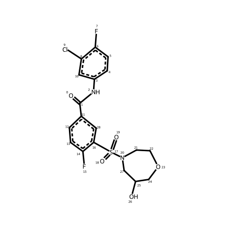 O=C(Nc1ccc(F)c(Cl)c1)c1ccc(F)c(S(=O)(=O)N2CCOCC(O)C2)c1